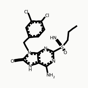 CCCS(=N)(=O)c1nc(N)c2[nH]c(=O)n(Cc3ccc(Cl)c(Cl)c3)c2n1